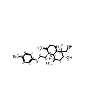 C=C1CCC2[C@@H](C(C)C[C@@H](O)[C@@]2(C)CO)[C@H]1CCOc1ccc(C(C)(C)C)cc1